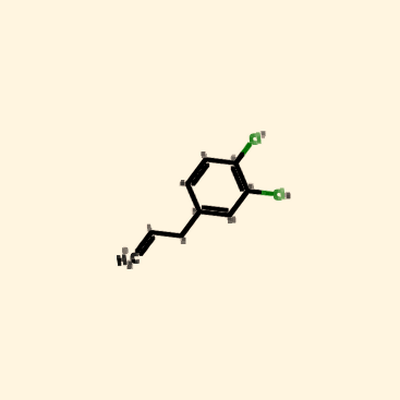 C=CCc1ccc(Cl)c(Cl)c1